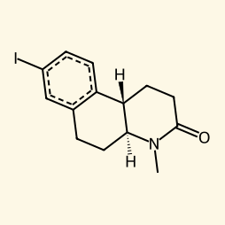 CN1C(=O)CC[C@H]2c3ccc(I)cc3CC[C@@H]21